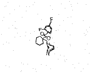 O=S(=O)(c1ccc(F)cc1F)C1(Cn2ccnc2)CCCCC1